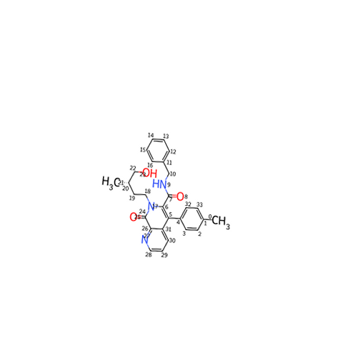 Cc1ccc(-c2c(C(=O)NCc3ccccc3)n(CC[C@H](C)CO)c(=O)c3ncccc23)cc1